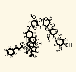 CO[C@H]1C[C@H](O[C@H]2[C@@H](OC)C[C@H](O[C@H]3CC[C@@]4(C)C(=CC[C@]5(O)[C@@H]4C[C@@H](OC(=O)/C=C/c4ccccc4)[C@@]4(C)[C@]5(O)CC[C@@]4(O)C(C)=O)C3)O[C@@H]2C)O[C@@H](C)[C@H]1O[C@H]1C[C@H](OC)[C@H](O[C@H]2C[C@@H](OC)[C@@H](O)[C@H](C)O2)[C@@H](C)O1